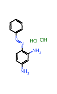 Cl.Cl.Nc1ccc(N=Nc2ccccc2)c(N)c1